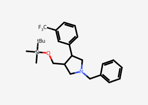 CC(C)(C)[Si](C)(C)OCC1CN(Cc2ccccc2)CC1c1cccc(C(F)(F)F)c1